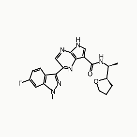 C[C@H](NC(=O)c1c[nH]c2ncc(-c3nn(C)c4cc(F)ccc34)nc12)[C@H]1CCCO1